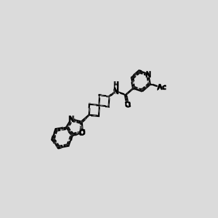 CC(=O)c1cc(C(=O)NC2CC3(C2)CC(c2nc4ccccc4o2)C3)ccn1